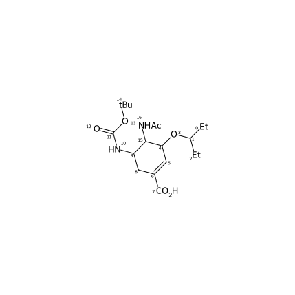 CCC(CC)OC1C=C(C(=O)O)CC(NC(=O)OC(C)(C)C)C1NC(C)=O